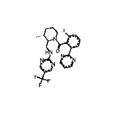 C[C@@H]1CCCN(C(=O)c2c(F)cccc2-c2ncccn2)C1CNc1ncc(C(F)(F)F)cn1